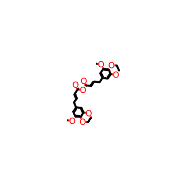 COc1cc(CC=CC(=O)OC(=O)C=CCc2cc(OC)c3c(c2)OCCO3)cc2c1OCCO2